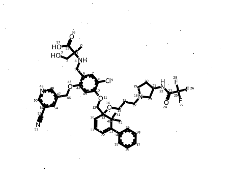 CC(CO)(NCc1cc(Cl)c(OCC2(OCCCN3CCC(NC(=O)C(F)(F)F)C3)C=CC=C(c3ccccc3)C2(C)C)cc1OCc1cncc(C#N)c1)C(=O)O